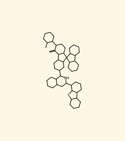 C=C1C(C2CCCCC2C)CCC2C1C1CCC(C3NC(C4CCCC5C6CCCCC6SC45)CC4CCCCC43)CC1C21C2CCCCC2C2CCCCC21